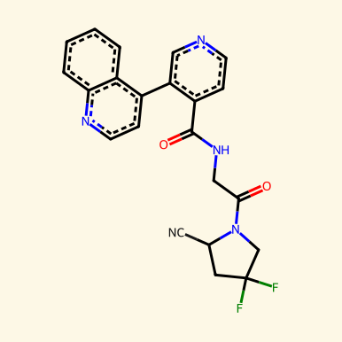 N#CC1CC(F)(F)CN1C(=O)CNC(=O)c1ccncc1-c1ccnc2ccccc12